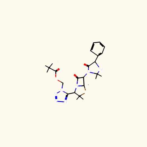 CC(C)(C)C(=O)OCn1nnnc1C1N2C(=O)C(N3C(=O)C(c4ccccc4)NC3(C)C)[C@H]2SC1(C)C